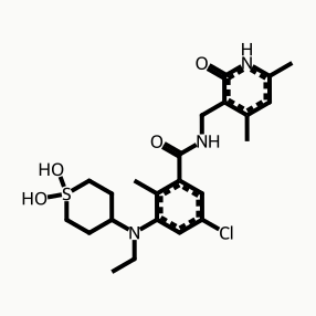 CCN(c1cc(Cl)cc(C(=O)NCc2c(C)cc(C)[nH]c2=O)c1C)C1CCS(O)(O)CC1